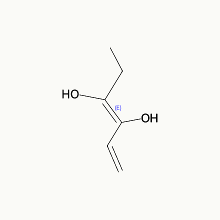 C=C/C(O)=C(\O)CC